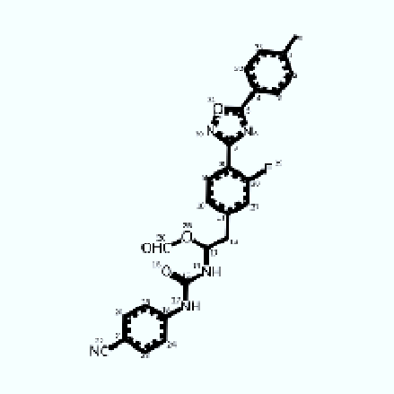 Cc1ccc(-c2nc(-c3ccc(CC(NC(=O)Nc4ccc(C#N)cc4)OC=O)cc3F)no2)cc1